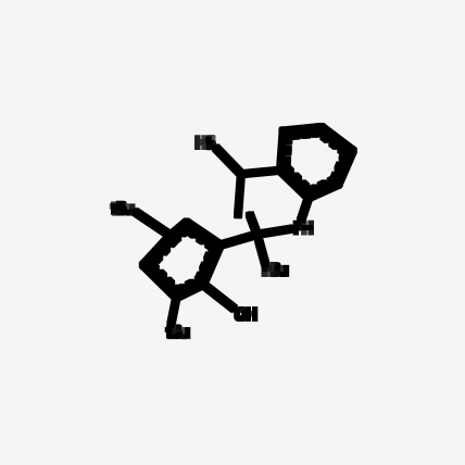 CCCCC(C)(Pc1ccccc1C(C)S)c1cc(C(C)(C)C)cc(C(C)(C)C)c1O